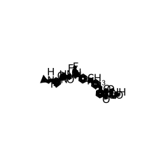 CN(C[C@H]1CC[C@H](n2cc(NC(=O)c3coc(-c4ccnc(NCC5CC5)c4)n3)c(C(F)F)n2)CC1)C1CCN(Cc2cccc3c2C(=O)N(C2CCC(=O)NC2=O)C3=O)CC1